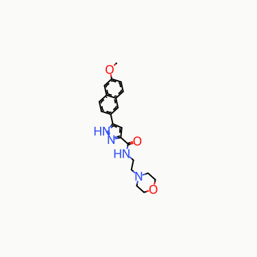 COc1ccc2cc(-c3cc(C(=O)NCCN4CCOCC4)n[nH]3)ccc2c1